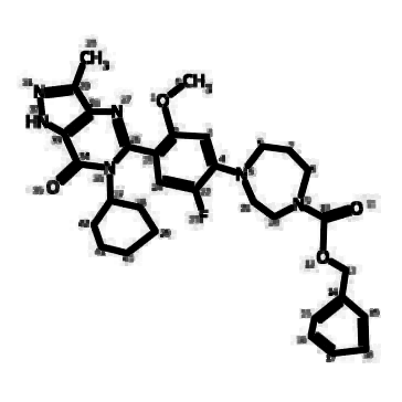 COc1cc(N2CCCN(C(=O)OCc3ccccc3)CC2)c(F)cc1-c1nc2c(C)n[nH]c2c(=O)n1C1CCCCC1